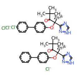 CC(C)(C)C(=O)[C]([Zn+2])(Oc1ccc(-c2ccccc2)cc1)c1nc[nH]n1.CC(C)(C)C(=O)[C]([Zn+2])(Oc1ccc(-c2ccccc2)cc1)c1nc[nH]n1.[Cl-].[Cl-].[Cl-].[Cl-]